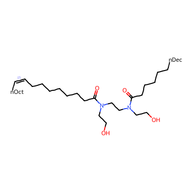 CCCCCCCC/C=C\CCCCCCCC(=O)N(CCO)CCN(CCO)C(=O)CCCCCCCCCCCCCCC